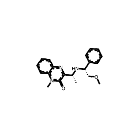 COC[C@H](N[C@H](C)c1nc2ccccc2n(C)c1=O)c1ccccc1